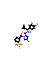 C[C@@H]1C[C@H](C(=O)N[C@@H](c2ccc(C(F)(F)F)c(F)c2)C2CC2)N(C(=O)c2cccc(S(C)(=O)=O)c2)C1